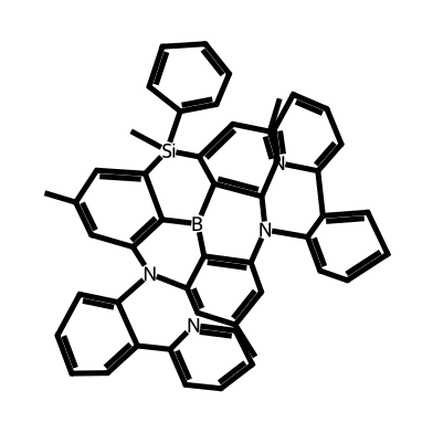 Cc1cc2c3c(c1)N(c1ccccc1-c1ccccn1)c1cc(C)cc4c1B3c1c(cc(C)cc1[Si]4(C)c1ccccc1)N2c1ccccc1-c1ccccn1